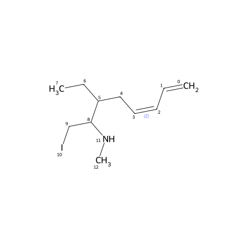 C=C/C=C\CC(CC)C(CI)NC